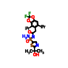 CC(C)c1cc2c(c(C(C)C)c1CC(=O)N=[S@@](N)(=O)c1cnc(C(C)(C)O)s1)OC(F)(F)O2